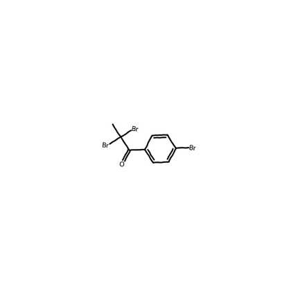 CC(Br)(Br)C(=O)c1ccc(Br)cc1